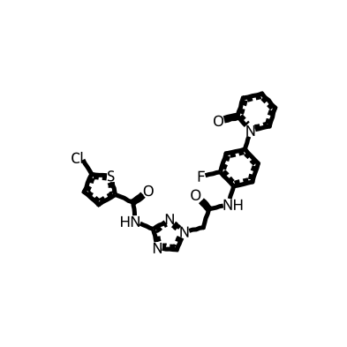 O=C(Cn1cnc(NC(=O)c2ccc(Cl)s2)n1)Nc1ccc(-n2ccccc2=O)cc1F